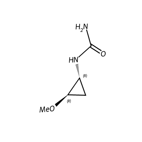 CO[C@@H]1C[C@H]1NC(N)=O